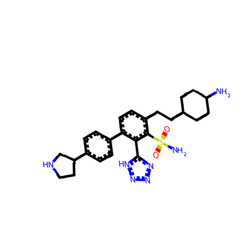 NC1CCC(CCc2ccc(-c3ccc(C4CCNC4)cc3)c(-c3nnn[nH]3)c2S(N)(=O)=O)CC1